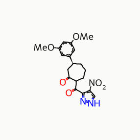 COc1cc(OC)cc([C@H]2CCCC(C(=O)c3n[nH]cc3[N+](=O)[O-])C(=O)C2)c1